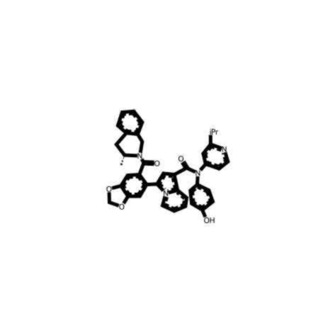 CC(C)c1cc(N(C(=O)c2cc(-c3cc4c(cc3C(=O)N3Cc5ccccc5C[C@H]3C)OCO4)n3ccccc23)c2ccc(O)cc2)ccn1